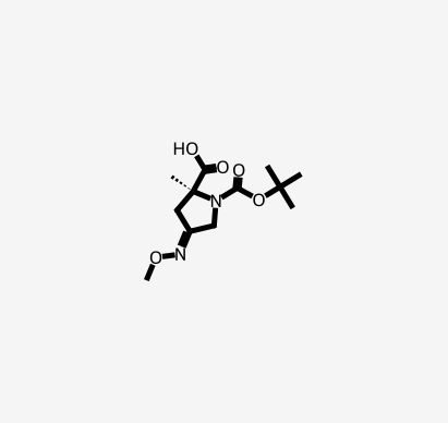 CON=C1CN(C(=O)OC(C)(C)C)[C@](C)(C(=O)O)C1